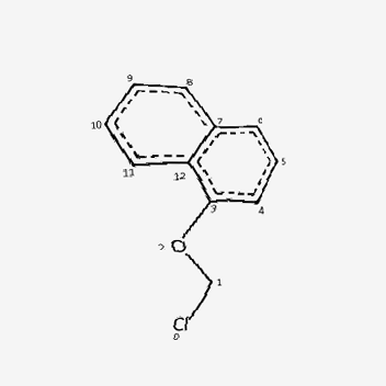 ClCOc1cccc2ccccc12